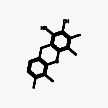 Cc1ccc2c(c1C)Oc1c(C)c(C)c(O)c(O)c1C2